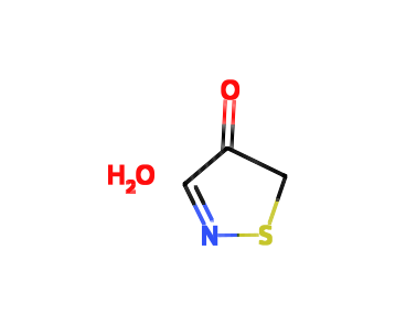 O.O=C1C=NSC1